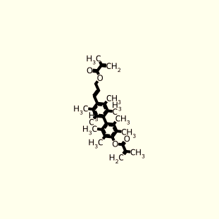 C=C(C)C(=O)OC/C=C/c1c(C)c(C)c(-c2c(C)c(C)c(OC(=O)C(=C)C)c(C)c2C)c(C)c1C